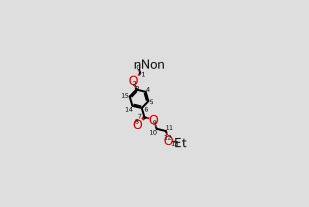 CCCCCCCCCCOc1ccc(C(=O)OCCOCC)cc1